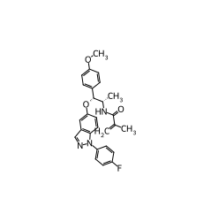 C=C(C)C(=O)N[C@@H](C)[C@H](Oc1ccc2c(cnn2-c2ccc(F)cc2)c1)c1ccc(OC)cc1